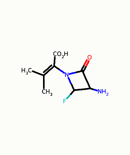 CC(C)=C(C(=O)O)N1C(=O)C(N)C1F